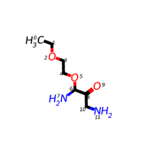 CCOCCOC(N)C(=O)CN